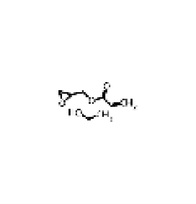 C=CC(=O)OCC1CO1.CCO